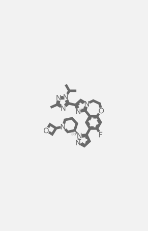 Cc1nc(-c2cn3c(n2)-c2cc(-c4ccnn4[C@@H]4CCCN(C5COC5)C4)c(F)cc2OCC3)n(C(C)C)n1